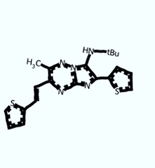 Cc1nn2c(NC(C)(C)C)c(-c3cccs3)nc2nc1C=Cc1cccs1